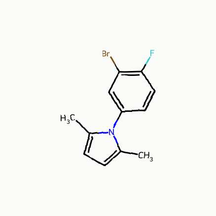 Cc1ccc(C)n1-c1ccc(F)c(Br)c1